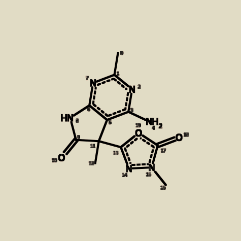 Cc1nc(N)c2c(n1)NC(=O)C2(C)c1nn(C)c(=O)o1